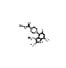 Cc1[nH]c2c(C#N)cc(F)c(N3CCN(C(=O)OC(C)(C)C)CC3)c2c1C